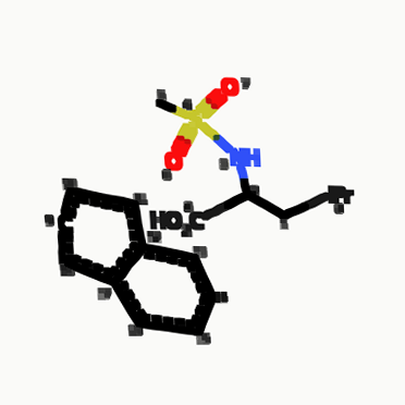 CC(C)CC(NS(C)(=O)=O)C(=O)O.c1ccc2ccccc2c1